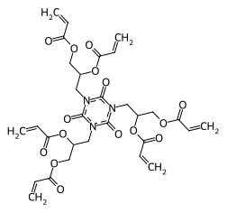 C=CC(=O)OCC(Cn1c(=O)n(CC(COC(=O)C=C)OC(=O)C=C)c(=O)n(CC(COC(=O)C=C)OC(=O)C=C)c1=O)OC(=O)C=C